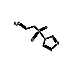 C=CCS(=O)(=O)n1cnnn1